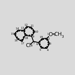 COc1cccc(C(Cl)c2cccc3ccccc23)c1